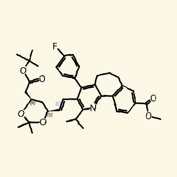 COC(=O)c1ccc2c(c1)CCCc1c-2nc(C(C)C)c(/C=C/[C@@H]2C[C@H](CC(=O)OC(C)(C)C)OC(C)(C)O2)c1-c1ccc(F)cc1